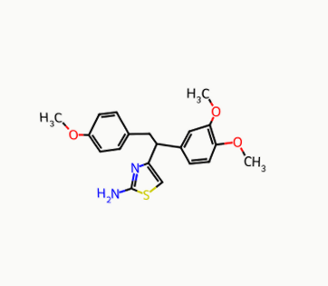 COc1ccc(CC(c2ccc(OC)c(OC)c2)c2csc(N)n2)cc1